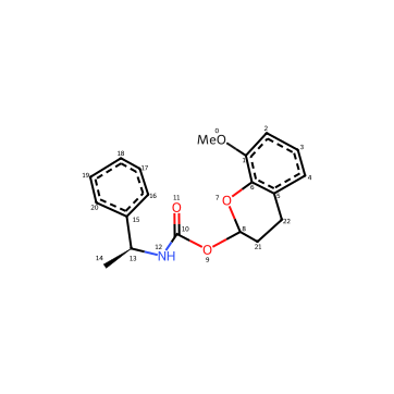 COc1cccc2c1OC(OC(=O)N[C@@H](C)c1ccccc1)CC2